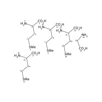 CSCCC(N)C(=O)O.CSCCC(N)C(=O)O.CSCCC(N)C(=O)O.CSCCC(N)C(=O)O.NCC(=O)O